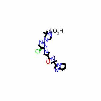 CN(C(=O)C1CN(c2nc(N3CCN(C(=O)O)C(C)(C)C3)ncc2Cl)C1)C(C)(C)c1cnc2ccccn12